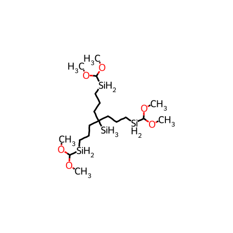 COC(OC)[SiH2]CCCC([SiH3])(CCC[SiH2]C(OC)OC)CCC[SiH2]C(OC)OC